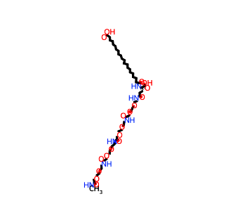 CNC(=O)COCCOCCNC(=O)COCCOCCNC(=O)COCCOCCNC(=O)COCCOCCNC(=O)CC[C@H](NC(=O)CCCCCCCCCCCCCCCCCCCCC(=O)O)C(=O)O